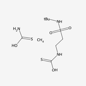 C.CC(C)(C)NS(=O)(=O)CCNC(O)=S.NC(O)=S